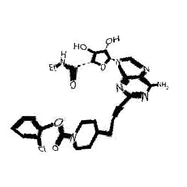 CCNC(=O)[C@H]1O[C@@H](n2cnc3c(N)nc(C#CCC4CCN(C(=O)Oc5ccccc5Cl)CC4)nc32)[C@@H](O)C1O